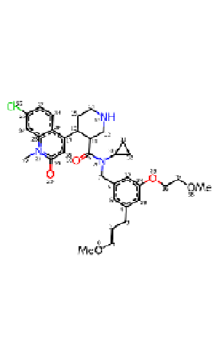 COCCCc1cc(CN(C(=O)C2CNCCC2c2cc(=O)n(C)c3cc(Cl)ccc23)C2CC2)cc(OCCOC)c1